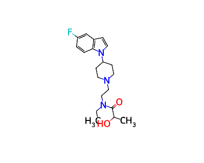 CCN(CCN1CCC(n2ccc3cc(F)ccc32)CC1)C(=O)C(C)O